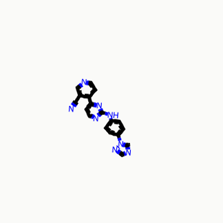 N#Cc1cnccc1-c1ccnc(Nc2ccc(-n3cncn3)cc2)n1